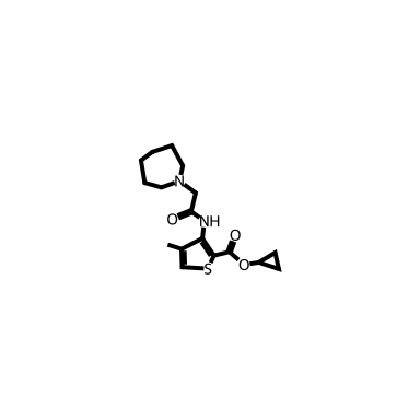 Cc1csc(C(=O)OC2CC2)c1NC(=O)CN1CCCCCC1